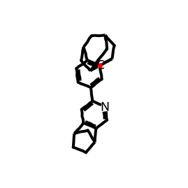 c1cc2c(cc1-c1cc3c(cn1)C1CCC3C1)C1CC3CC(CC2C3)C1